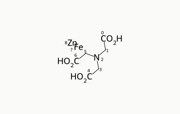 O=C(O)CN(CC(=O)O)CC(=O)O.[Fe].[Zn]